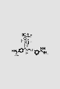 CN(C)C(=N)c1ccc(C(=O)NCCOc2cccc(C(=N)N)c2)cc1.O=C(O)C(F)(F)F.O=C(O)C(F)(F)F